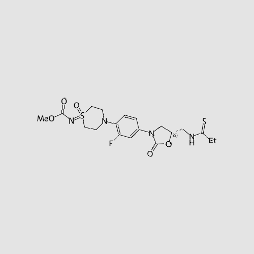 CCC(=S)NC[C@H]1CN(c2ccc(N3CCS(=O)(=NC(=O)OC)CC3)c(F)c2)C(=O)O1